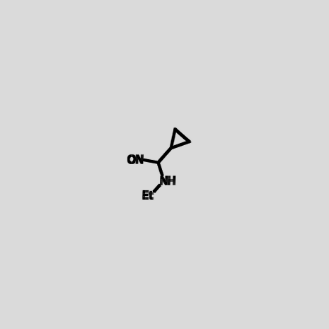 CCNC(N=O)C1CC1